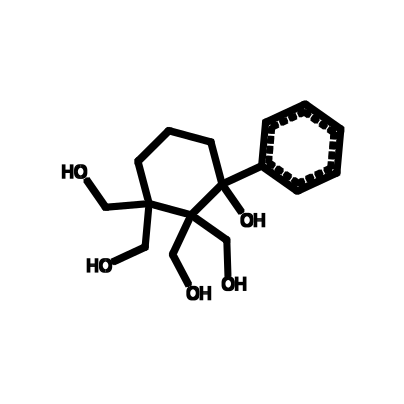 OCC1(CO)CCCC(O)(c2ccccc2)C1(CO)CO